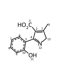 CC1=C(C(=O)O)C(c2ccccc2O)=NC1